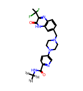 [2H]C([2H])([2H])NC(=O)c1ccc(N2CCN(Cc3ccc4nc(C(C)(F)F)c(=O)[nH]c4c3)CC2)cn1